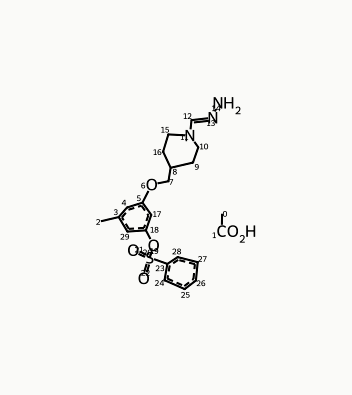 CC(=O)O.Cc1cc(OCC2CCN(C=NN)CC2)cc(OS(=O)(=O)c2ccccc2)c1